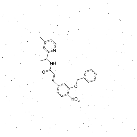 Cc1ccnc(C(C)NC(=O)C=Cc2ccc([N+](=O)[O-])c(OCc3ccccc3)c2)c1